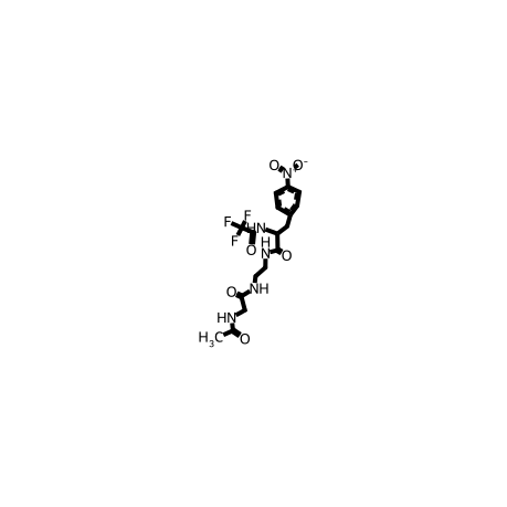 CC(=O)NCC(=O)NCCNC(=O)C(Cc1ccc([N+](=O)[O-])cc1)NC(=O)C(F)(F)F